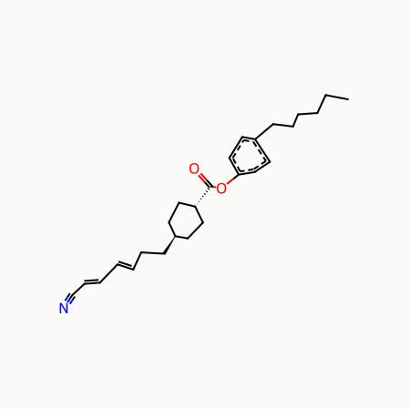 CCCCCCc1ccc(OC(=O)[C@H]2CC[C@H](CCC=CC=CC#N)CC2)cc1